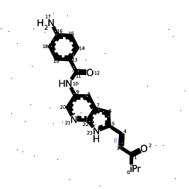 CC(C)C(=O)/C=C/c1cc2cc(NC(=O)c3ccc(N)cc3)cnc2[nH]1